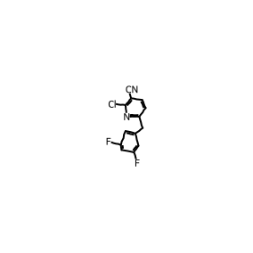 N#Cc1ccc(Cc2cc(F)cc(F)c2)nc1Cl